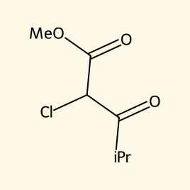 COC(=O)C(Cl)C(=O)C(C)C